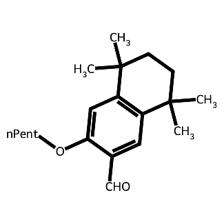 CCCCCOc1cc2c(cc1C=O)C(C)(C)CCC2(C)C